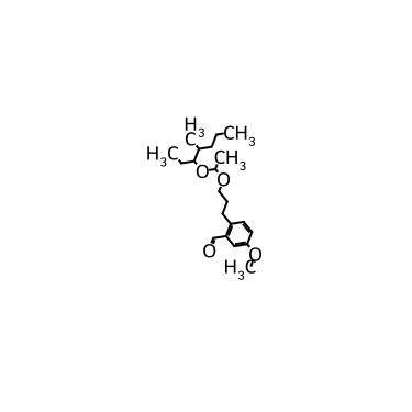 CCCC(C)C(CC)OC(C)OCCCc1ccc(OC)cc1C=O